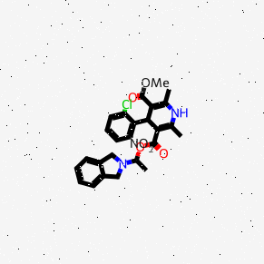 COC(=O)C1=C(C)NC(C)=C(C(=O)OC(C)N2Cc3ccccc3C2)C1c1c(Cl)cccc1[N+](=O)[O-]